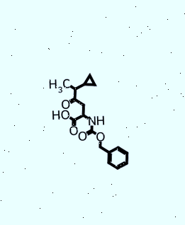 CC(C(=O)CC(NC(=O)OCc1ccccc1)C(=O)O)C1CC1